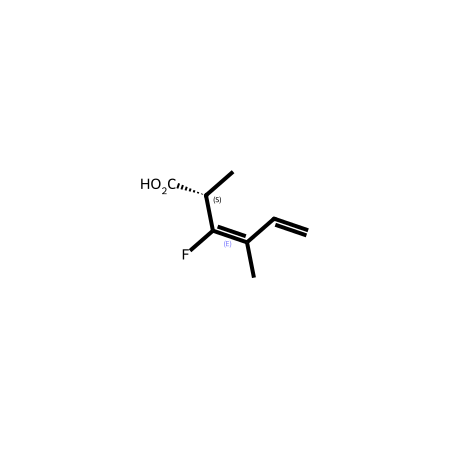 C=C/C(C)=C(/F)[C@@H](C)C(=O)O